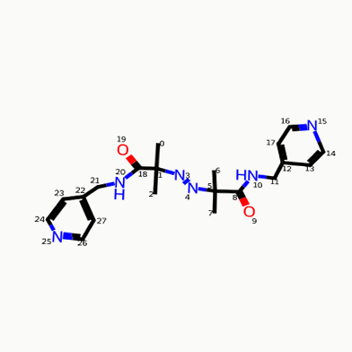 CC(C)(N=NC(C)(C)C(=O)NCc1ccncc1)C(=O)NCc1ccncc1